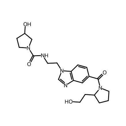 O=C(NCCn1cnc2cc(C(=O)N3CCCC3CCO)ccc21)N1CCC(O)C1